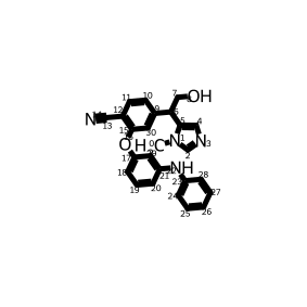 Cn1cncc1C(CO)c1ccc(C#N)c(Oc2cccc(Nc3ccccc3)c2)c1